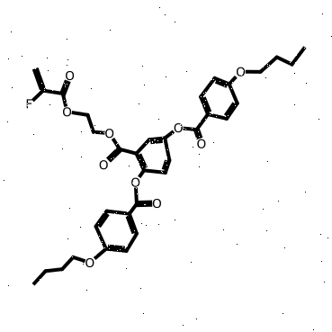 C=C(F)C(=O)OCCOC(=O)c1cc(OC(=O)c2ccc(OCCCC)cc2)ccc1OC(=O)c1ccc(OCCCC)cc1